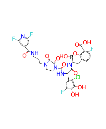 O=C(NCCCN1CCN(C(=O)N[C@@H](C(=O)N[C@H]2Cc3ccc(F)c(C(=O)O)c3OB2O)c2cc(F)c(O)c(O)c2Cl)C(=O)C1=O)c1cc(F)nc(F)c1